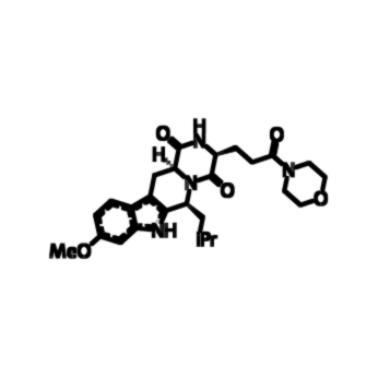 COc1ccc2c3c([nH]c2c1)[C@H](CC(C)C)N1C(=O)[C@H](CCC(=O)N2CCOCC2)NC(=O)[C@@H]1C3